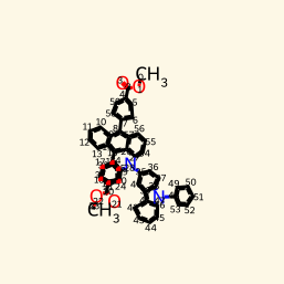 COC(=O)c1ccc(-c2c3ccccc3c(-c3ccc(C(=O)OC)cc3)c3c(N(c4ccccc4)c4ccc5c(c4)c4ccccc4n5-c4ccccc4)cccc23)cc1